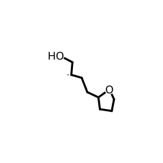 OC[CH]CCC1CCCO1